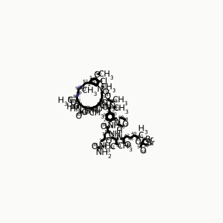 COc1cc2cc(c1Cl)N(C)C(=O)C[C@H](OC(=O)[C@H](C)N(C)C(=O)c1ccc(NC(=O)[C@H](CCCNC(N)=O)NC(=O)[C@@H](NC(C=O)CCCC(C)OC(C=O)(CBr)CBr)C(C)C)c(N3CCOCC3)c1)[C@]1(C)O[C@H]1[C@H](C)[C@@H]1C[C@@](O)(NC(=O)O1)[C@H](OC)/C=C/C=C(\C)C2